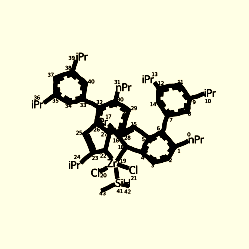 CCCc1ccc2c(c1-c1cc(C(C)C)cc(C(C)C)c1)C=C(C(C)C)[CH]2[Zr]([Cl])([Cl])([CH]1C(C(C)C)=Cc2c1ccc(CCC)c2-c1cc(C(C)C)cc(C(C)C)c1)[SiH](C)C